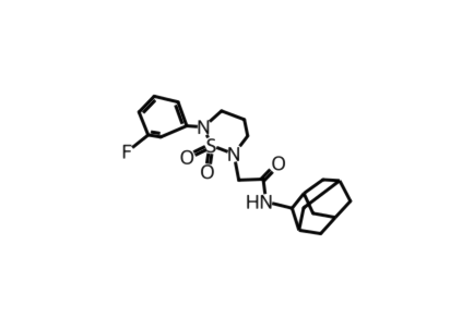 O=C(CN1CCCN(c2cccc(F)c2)S1(=O)=O)NC1C2CC3CC(C2)CC1C3